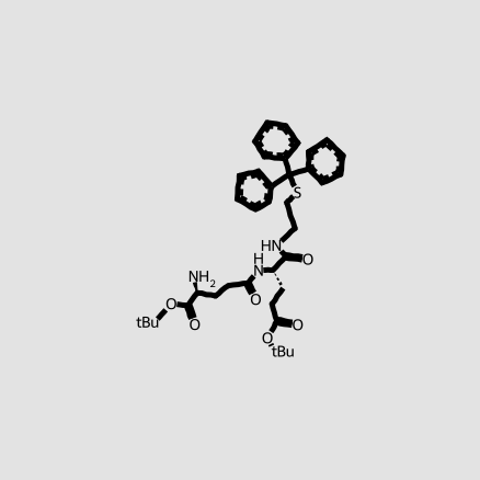 CC(C)(C)OC(=O)CC[C@H](NC(=O)CC[C@H](N)C(=O)OC(C)(C)C)C(=O)NCCSC(c1ccccc1)(c1ccccc1)c1ccccc1